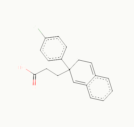 O=C(O)CCC1(c2ccc(Cl)cc2)C=c2ccccc2=CC1